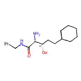 CC(C)CNC(=O)C(N)[C@@H](O)CCC1CCCCC1